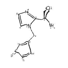 NC(=O)c1nccn1Cc1ccsc1